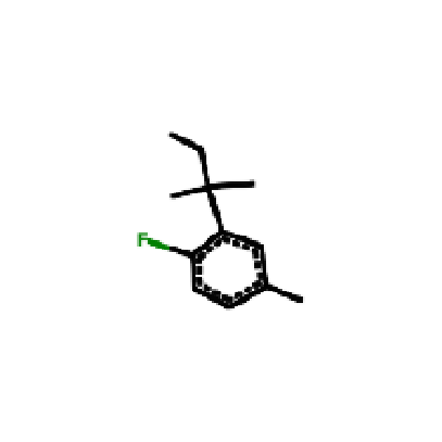 CCC(C)(C)c1cc(C)ccc1F